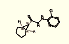 O=C(NNc1nccnc1Cl)[C@H]1[C@@H]2CCCC[C@@H]21